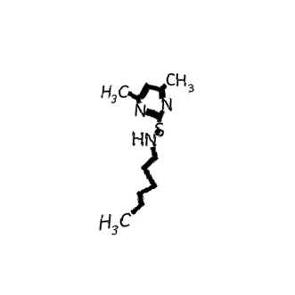 CCCCCCNSc1nc(C)cc(C)n1